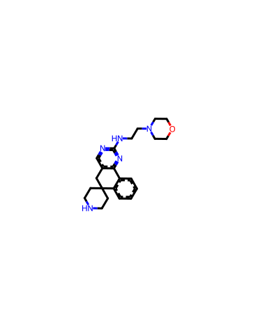 c1ccc2c(c1)-c1nc(NCCN3CCOCC3)ncc1CC21CCNCC1